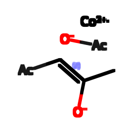 CC(=O)/C=C(/C)[O-].CC(=O)[O-].[Co+2]